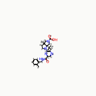 Cc1ccccc1CNC(=O)c1cncc(N2CC[C@@H]3CN(C(=O)O)C[C@]32C(C)(C)C)n1